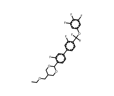 CCOCC1COC(c2ccc(-c3ccc(C(F)(F)Oc4cc(F)c(F)c(F)c4)c(F)c3)cc2F)OC1